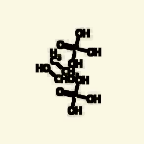 CC.O=CO.O=P(O)(O)O.O=P(O)(O)O